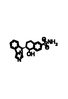 NS(=O)(=O)c1ccc2c(c1)CC[C@@H](C1c3ccccc3-c3cncn31)[C@@H]2O